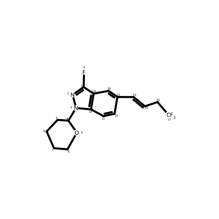 Fc1nn(C2CCCCO2)c2ccc(/C=C/CC(F)(F)F)cc12